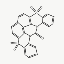 O=C1N2c3ccccc3S(=O)(=O)c3ccc4ccc5c(c4c32)N1c1ccccc1S5(=O)=O